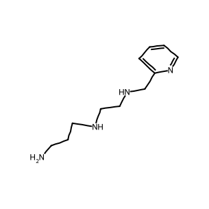 NCCCNCCNCc1ccccn1